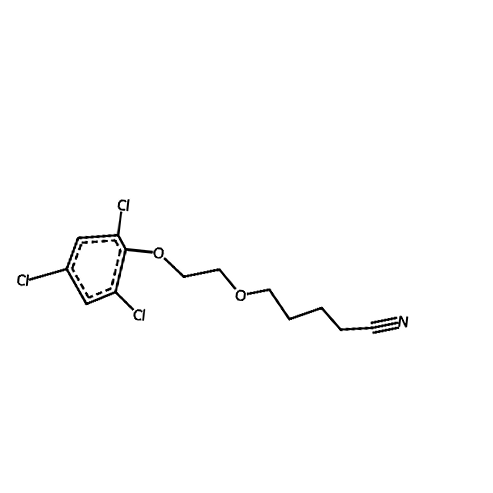 N#CCCCCOCCOc1c(Cl)cc(Cl)cc1Cl